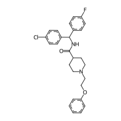 O=C(NC(c1ccc(F)cc1)c1ccc(Cl)cc1)C1CCN(CCOc2ccccc2)CC1